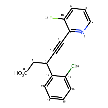 O=C(O)CC(C#Cc1ncccc1F)c1ccccc1Cl